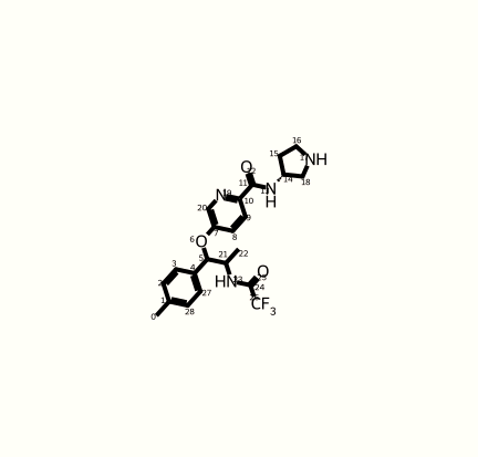 Cc1ccc(C(Oc2ccc(C(=O)N[C@@H]3CCNC3)nc2)C(C)NC(=O)C(F)(F)F)cc1